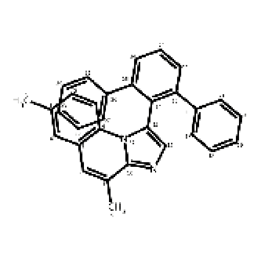 Cc1ccc2c(c1)cc(C)c1ncc(-c3c(-c4ccccc4)cccc3-c3ccccc3)n12